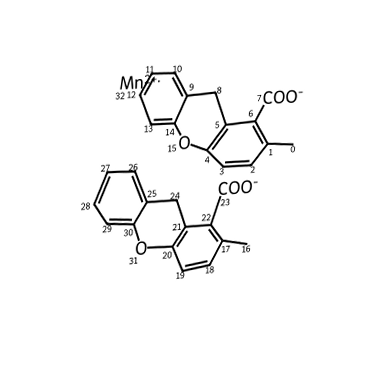 Cc1ccc2c(c1C(=O)[O-])Cc1ccccc1O2.Cc1ccc2c(c1C(=O)[O-])Cc1ccccc1O2.[Mn+2]